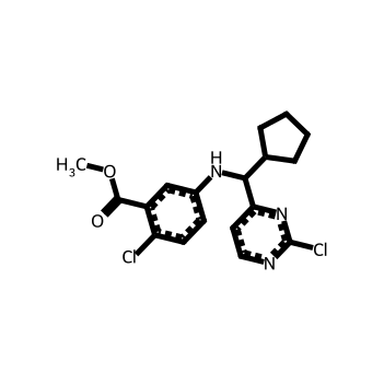 COC(=O)c1cc(NC(c2ccnc(Cl)n2)C2CCCC2)ccc1Cl